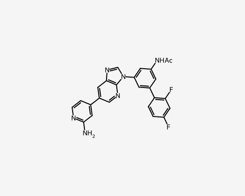 CC(=O)Nc1cc(-c2ccc(F)cc2F)cc(-n2cnc3cc(-c4ccnc(N)c4)cnc32)c1